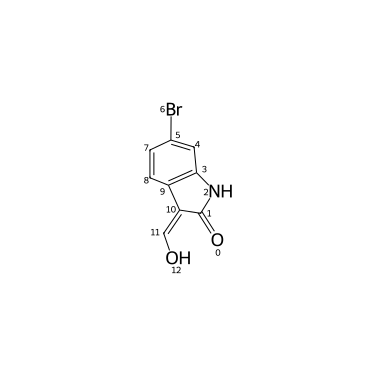 O=C1Nc2cc(Br)ccc2/C1=C/O